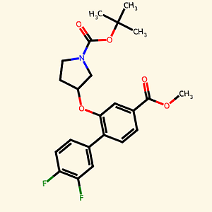 COC(=O)c1ccc(-c2ccc(F)c(F)c2)c(OC2CCN(C(=O)OC(C)(C)C)C2)c1